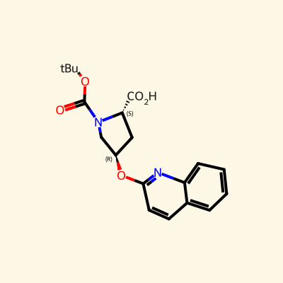 CC(C)(C)OC(=O)N1C[C@H](Oc2ccc3ccccc3n2)C[C@H]1C(=O)O